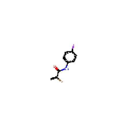 C=C(Br)C(=O)Nc1ccc(I)cc1